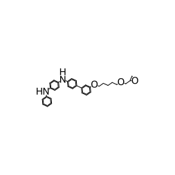 c1ccc(Nc2ccc(Nc3ccc(-c4cccc(OCCCCCOCC5CO5)c4)cc3)cc2)cc1